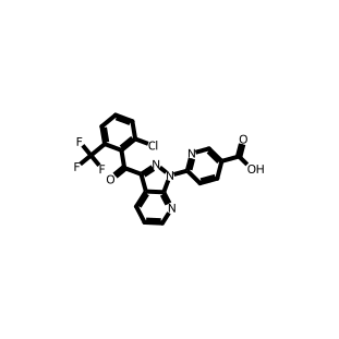 O=C(O)c1ccc(-n2nc(C(=O)c3c(Cl)cccc3C(F)(F)F)c3cccnc32)nc1